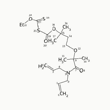 C=CCN(CC=C)C(=O)C(C)(C)OCCC(C)(C)OC(=O)SC(=S)OCC